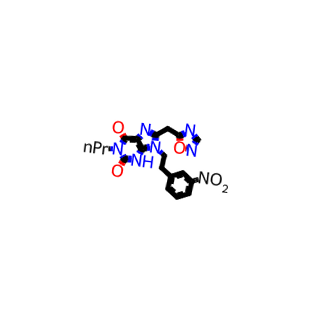 CCCn1c(=O)[nH]c2c(nc(Cc3ncno3)n2CCc2cccc([N+](=O)[O-])c2)c1=O